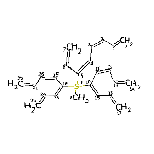 C=C/C=C\C=C(/C=C)S(C)(C(/C=C\C=C)=C/C=C)C(/C=C\C=C)=C/C=C